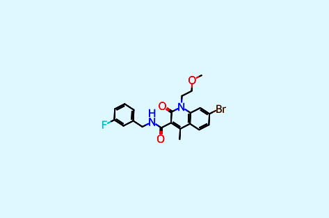 COCCn1c(=O)c(C(=O)NCc2cccc(F)c2)c(C)c2ccc(Br)cc21